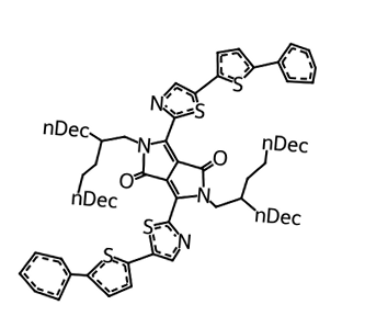 CCCCCCCCCCCCC(CCCCCCCCCC)CN1C(=O)C2=C(c3ncc(-c4ccc(-c5ccccc5)s4)s3)N(CC(CCCCCCCCCC)CCCCCCCCCCCC)C(=O)C2=C1c1ncc(-c2ccc(-c3ccccc3)s2)s1